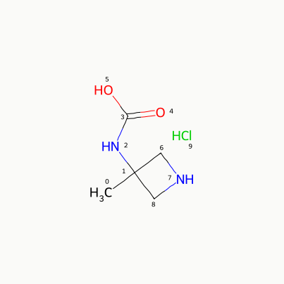 CC1(NC(=O)O)CNC1.Cl